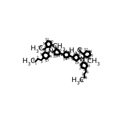 CCCCc1ccc(N(c2ccc(-c3ccc(-c4ccc(N(c5ccc(CCCC)cc5)c5c(C)cccc5CC)cc4)cc3)cc2)c2c(C)cccc2CC)cc1